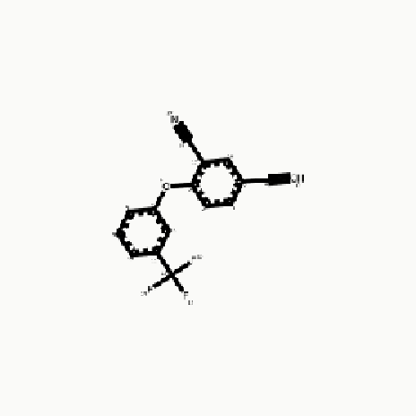 C#Cc1ccc(Oc2cccc(C(F)(F)F)c2)c(C#N)c1